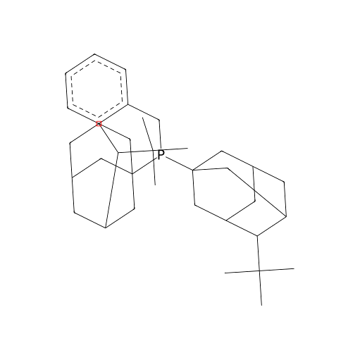 CC(C)(C)C1C2CC3CC1CC(P(Cc1ccccc1)C14CC5CC(C1)C(C(C)(C)C)C(C5)C4)(C3)C2